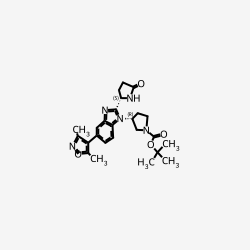 Cc1noc(C)c1-c1ccc2c(c1)nc([C@@H]1CCC(=O)N1)n2[C@@H]1CCN(C(=O)OC(C)(C)C)C1